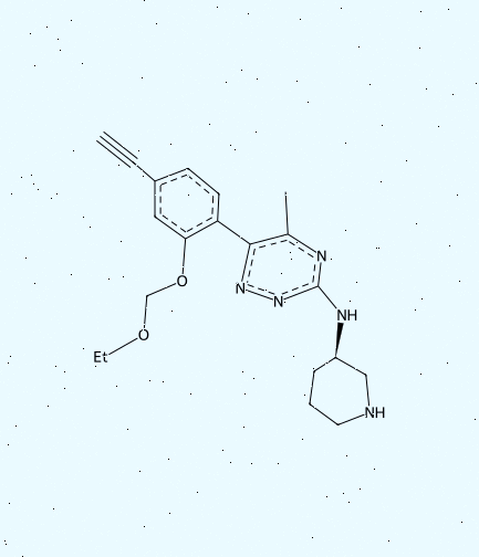 C#Cc1ccc(-c2nnc(N[C@@H]3CCCNC3)nc2C)c(OCOCC)c1